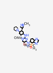 COc1cc(N2CCCCC2)c(-c2cnn(C)c2)cc1Nc1ncc(Br)c(Nc2ccc3nccnc3c2P(C)(C)=O)n1